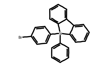 Brc1ccc([Si]2(c3ccccc3)c3ccccc3-c3ccccc32)cc1